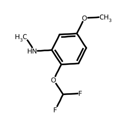 CNc1cc(OC)ccc1OC(F)F